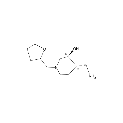 NC[C@@H]1CCN(CC2CCCO2)C[C@H]1O